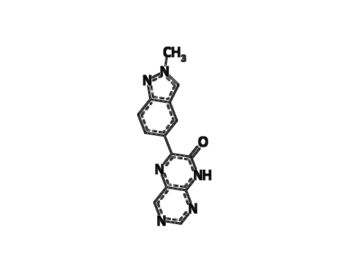 Cn1cc2cc(-c3nc4cncnc4[nH]c3=O)ccc2n1